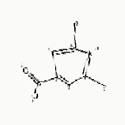 Cc1cc(C(=O)Cl)cc(C)n1